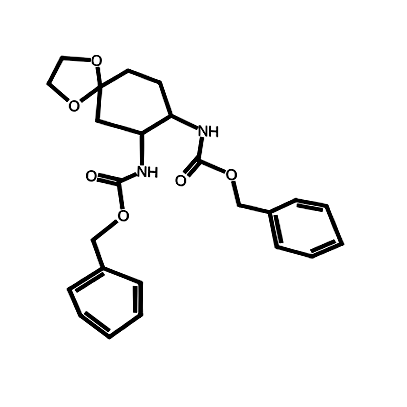 O=C(NC1CCC2(CC1NC(=O)OCc1ccccc1)OCCO2)OCc1ccccc1